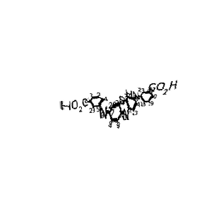 O=C(O)c1cccc(N=c2ccc3nc4ccc(Nc5cccc(C(=O)O)c5)cc4sc-3c2)c1